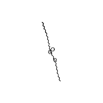 CCCCCCCCCCCCCCCCCC(=O)OCCCCOCCCCCCCCCCCC